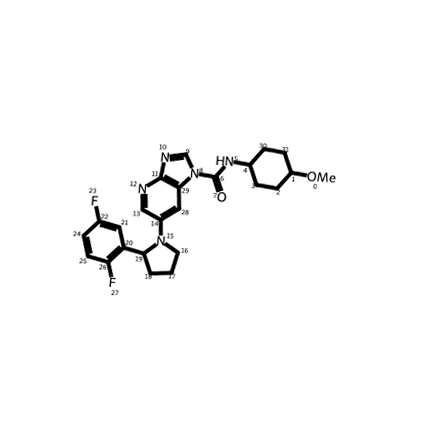 COC1CCC(NC(=O)n2cnc3ncc(N4CCCC4c4cc(F)ccc4F)cc32)CC1